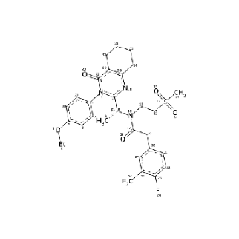 CCOc1ccc(-n2c([C@@H](C)N(CCS(C)(=O)=O)C(=O)Cc3ccc(F)c(C(F)(F)F)c3)nc3c(c2=O)CCCC3)cc1